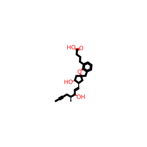 CC#CC[C@H](C)[C@H](O)/C=C/[C@@H]1CC2(Cc3cccc(CCCC(=O)O)c3O2)C[C@H]1O